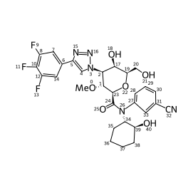 CO[C@@H]1[C@@H](n2cc(-c3cc(F)c(F)c(F)c3)nn2)[C@@H](O)[C@@H](CO)O[C@H]1C(=O)N(c1cccc(C#N)c1)[C@H]1CCCC[C@@H]1O